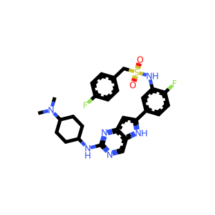 CN(C)C1CCC(Nc2ncc3[nH]c(-c4ccc(F)c(NS(=O)(=O)Cc5ccc(F)cc5)c4)cc3n2)CC1